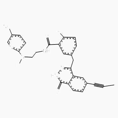 CC#Cc1ccc2c(=O)[nH]nc(Cc3ccc(F)c(C(=O)NCCN(CC)c4ccc(C#N)cn4)c3)c2c1